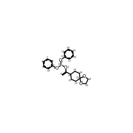 C=C(OP(Oc1ccccc1)Oc1ccccc1)C1CCC2(CC1)OCCO2